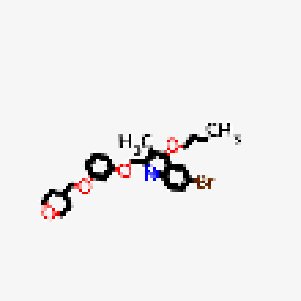 CCCCOc1c(C)c(COc2cccc(OCC3CCOCC3)c2)nc2ccc(Br)cc12